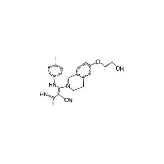 CC(=N)/C(C#N)=C(\Nc1ccc(C)cc1)N1CCc2cc(OCCO)ccc2C1